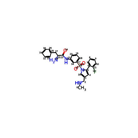 CNCc1cc(-c2ccccc2F)n(S(=O)(=O)c2cccc(NC(=O)[C@@H](N)Cc3ccccc3)c2)c1